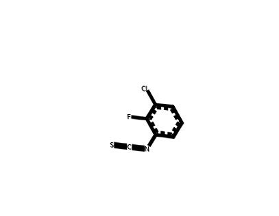 Fc1c(Cl)cccc1N=C=S